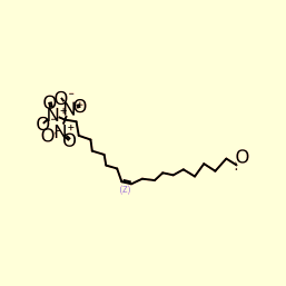 O=[C]CCCCCCCCC/C=C\CCCCCCCC([N+](=O)[O-])([N+](=O)[O-])[N+](=O)[O-]